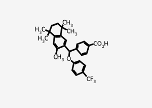 Cc1cc2c(cc1C(Oc1ccc(C(F)(F)F)cc1)c1ccc(C(=O)O)cc1)C(C)(C)CCC2(C)C